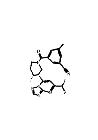 Cc1cc(C#N)cc(C(=O)N2CC[C@@H](C)[C@H](c3cc(C(F)F)nc4ncnn34)C2)c1